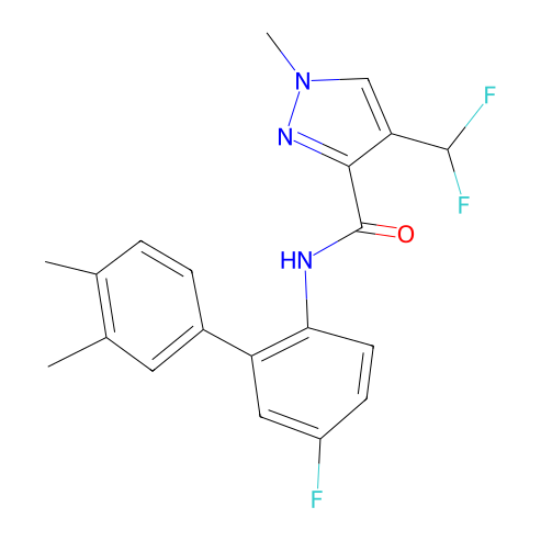 Cc1ccc(-c2cc(F)ccc2NC(=O)c2nn(C)cc2C(F)F)cc1C